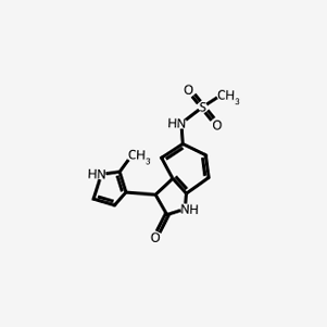 Cc1[nH]ccc1C1C(=O)Nc2ccc(NS(C)(=O)=O)cc21